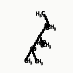 CCCCCCCCC(CC)OC(=O)CCCCCCCN(CCCCCCCC(=O)OC(CCCCCCCC)CCCCCCCC)CCCNS(C)(=O)=O